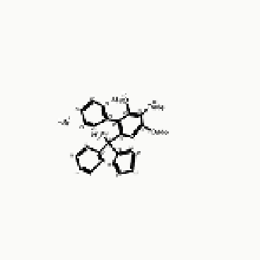 Br.COc1cc(C(P)(c2ccccc2)c2ccccc2)c(-c2ccccc2)c(OC)c1OC